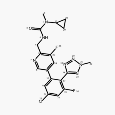 CN(C(=O)NCc1ncc(-c2cc(Cl)cc(F)c2-c2nnn(C)n2)cc1F)C1CC1